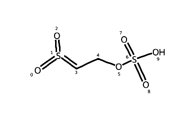 O=S(=O)=CCOS(=O)(=O)O